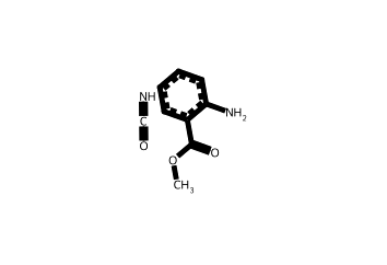 COC(=O)c1ccccc1N.N=C=O